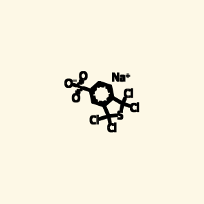 O=S(=O)([O-])c1ccc2c(c1)C(Cl)(Cl)SC2(Cl)Cl.[Na+]